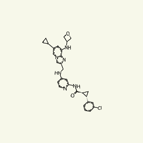 O=C(Nc1cc(NCc2cn3cc(C4CC4)cc(NC4COC4)c3n2)ccn1)[C@H]1C[C@@H]1c1cccc(Cl)c1